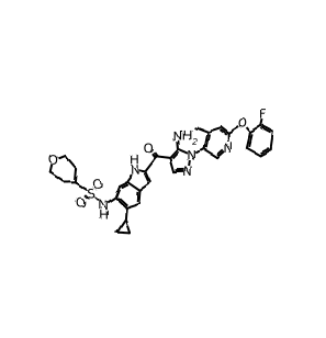 Cc1cc(Oc2ccccc2F)ncc1-n1ncc(C(=O)c2cc3cc(C4CC4)c(NS(=O)(=O)C4CCOCC4)cc3[nH]2)c1N